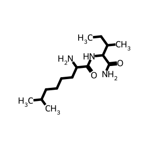 CCC(C)C(NC(=O)C(N)CCCCC(C)C)C(N)=O